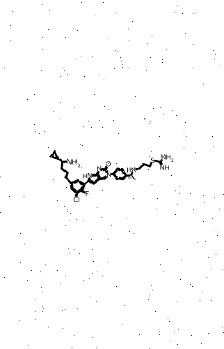 C[C@H](NCCCSC(=N)N)c1ccc(-n2cc3cc(-c4cc(CCCC(N)C5CC5)cc(Cl)c4F)[nH]c3nc2=O)cc1